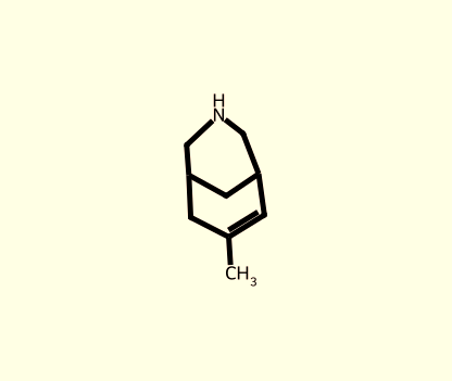 CC1=CC2CNCC(C1)C2